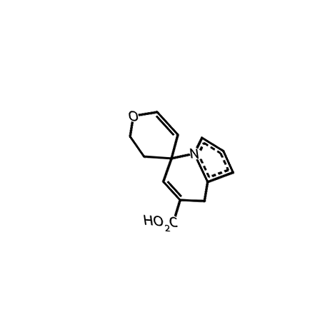 O=C(O)C1=CC2(C=COCC2)n2cccc2C1